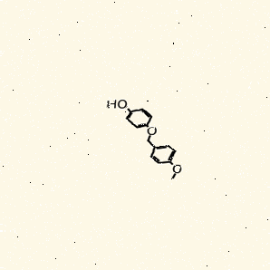 COc1ccc(COc2ccc(O)cc2)cc1